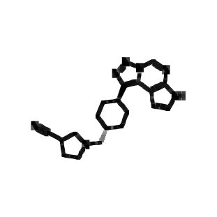 N#CC1CCN(C[C@H]2CC[C@H](c3nnn4cnc5[nH]ccc5c34)CC2)C1